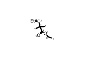 CCOC(C)(C)C(=O)OCI